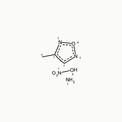 Cc1cnon1.N.O=[N+]([O-])O